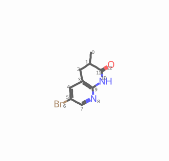 CC1Cc2cc(Br)cnc2NC1=O